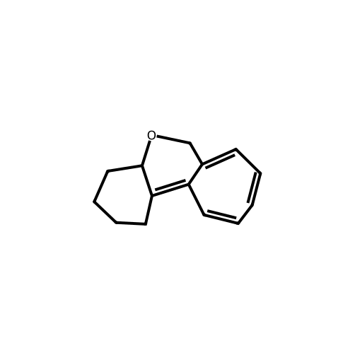 C1=CC=C2COC3CCCCC3=C2C=C1